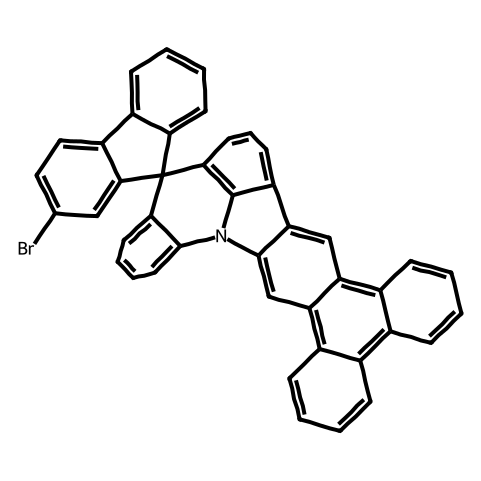 Brc1ccc2c(c1)C1(c3ccccc3-2)c2ccccc2-n2c3cc4c5ccccc5c5ccccc5c4cc3c3cccc1c32